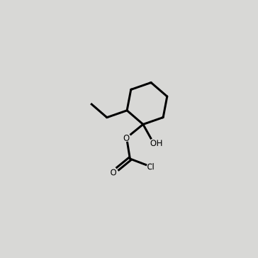 CCC1CCCCC1(O)OC(=O)Cl